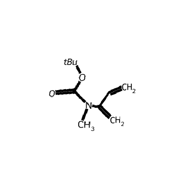 C=CC(=C)N(C)C(=O)OC(C)(C)C